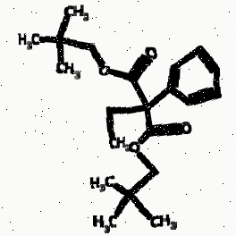 CCC(C(=O)OCC(C)(C)C)(C(=O)OCC(C)(C)C)c1ccccc1